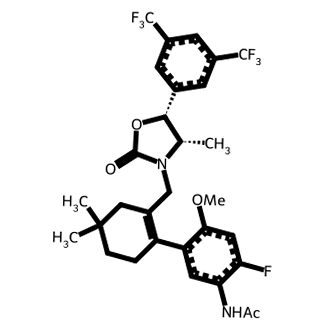 COc1cc(F)c(NC(C)=O)cc1C1=C(CN2C(=O)O[C@H](c3cc(C(F)(F)F)cc(C(F)(F)F)c3)[C@@H]2C)CC(C)(C)CC1